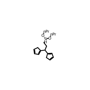 CCCO[SiH](CCC(C1=CC=CC1)C1=CC=CC1)OCCC